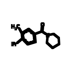 Cc1cc(C(=O)N2CCCCC2)ccc1C(C)C